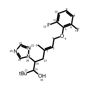 C/C(=C\COc1c(F)cccc1F)CC(C(O)C(C)(C)C)n1cncn1